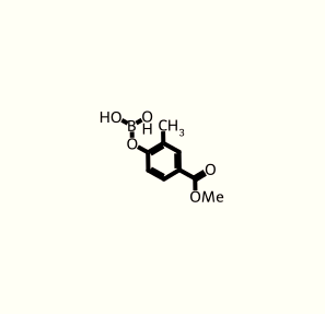 COC(=O)c1ccc(OB(O)O)c(C)c1